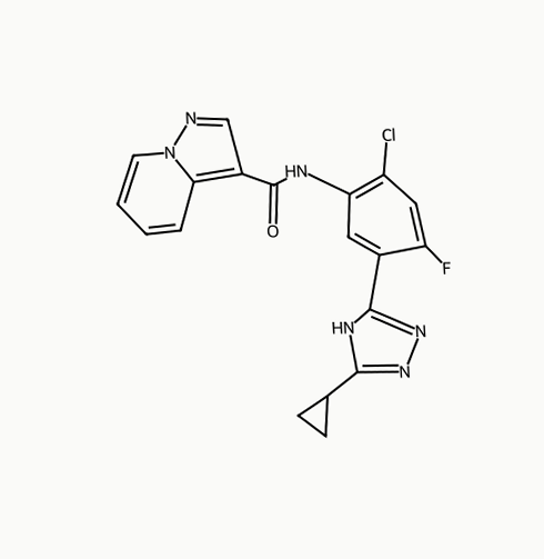 O=C(Nc1cc(-c2nnc(C3CC3)[nH]2)c(F)cc1Cl)c1cnn2ccccc12